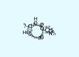 C=CCC[C@H]1C(=O)C(C)(C)[C@@H](O)CC(=O)O[C@H](c2ccc3sc(C)nc3c2)CC2OC2(C)CCC[C@H](C)[C@H]1O